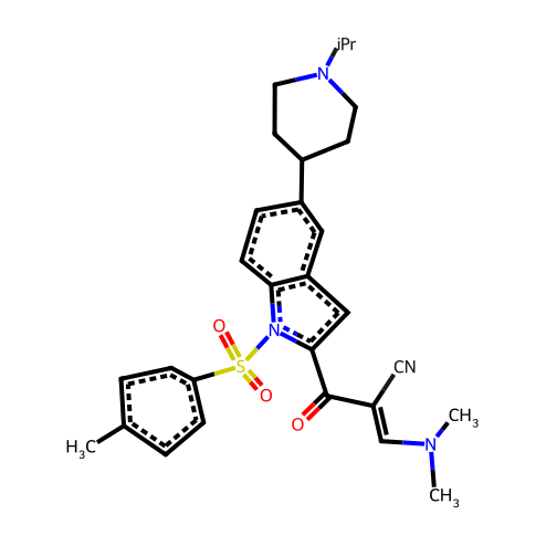 Cc1ccc(S(=O)(=O)n2c(C(=O)C(C#N)=CN(C)C)cc3cc(C4CCN(C(C)C)CC4)ccc32)cc1